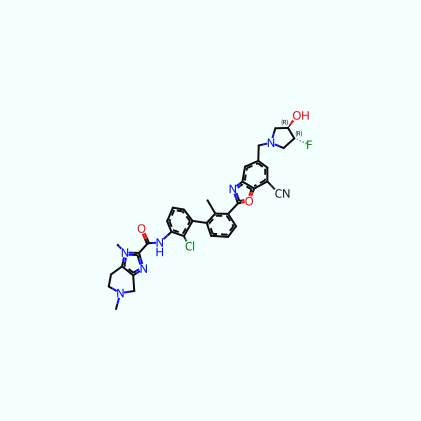 Cc1c(-c2nc3cc(CN4C[C@@H](O)[C@H](F)C4)cc(C#N)c3o2)cccc1-c1cccc(NC(=O)c2nc3c(n2C)CCN(C)C3)c1Cl